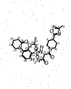 Cc1noc(C2CCN(C(=O)[C@@H](NS(=O)(=O)c3cccc(N4CCCCC4=O)c3OC(F)F)C(N)=O)CC2)n1